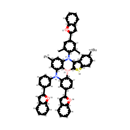 Cc1cc(-c2cc3ccccc3o2)cc(C)c1N1c2cc(C(C)C)cc3c2B(c2ccc(-c4cc5ccccc5o4)cc2N3c2cccc(-c3cc4ccccc4o3)c2)c2sc3ccc(C(C)(C)C)cc3c21